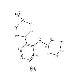 CC1CCC(c2cnc(N)nc2OC2CCSCC2)CC1